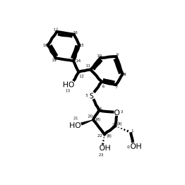 OC[C@H]1OC(Sc2ccccc2C(O)c2ccccc2)[C@H](O)[C@H]1O